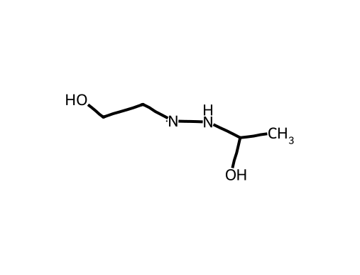 CC(O)N[N]CCO